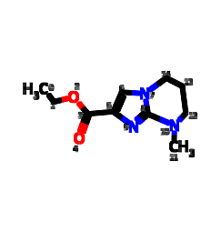 CCOC(=O)c1cn2c(n1)N(C)CCC2